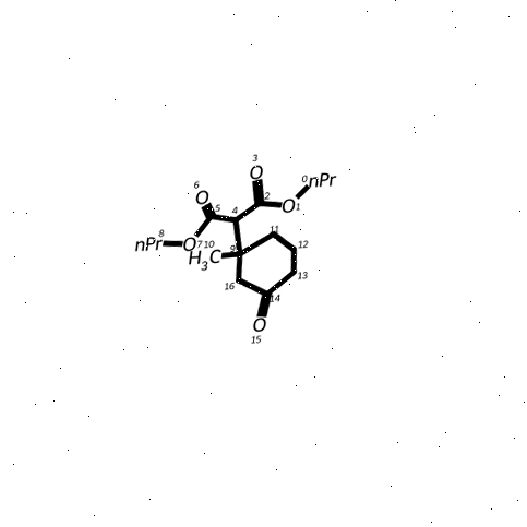 CCCOC(=O)C(C(=O)OCCC)C1(C)CCCC(=O)C1